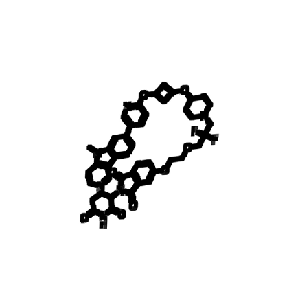 Cn1c2ccncc2c2ccc(-c3ccc(OC4CC(OC5CCN(CC(F)(F)COCCOc6ccc7c(c6)C(=O)N(C6CCC(=O)NC6=O)C7=O)CC5)C4)nc3)cc21